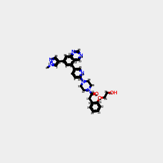 Cn1cc(-c2cc(-c3ccc(N4CCN(C(=O)Cc5ccccc5OCCO)CC4)nc3)c3cncnc3c2)cn1